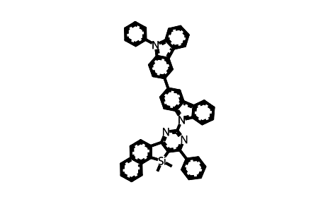 C[Si]1(C)c2c(-c3ccccc3)nc(-n3c4ccccc4c4cc(-c5ccc6c(c5)c5ccccc5n6-c5ccccc5)ccc43)nc2-c2ccc3ccccc3c21